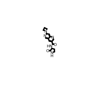 O=C(N[C@H]1CCNC1=O)c1cnc2cc(N3CCC3)ncc2c1